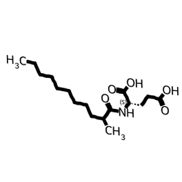 CCCCCCCCCC(C)C(=O)N[C@@H](CCC(=O)O)C(=O)O